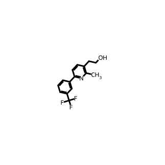 Cc1nc(-c2cccc(C(F)(F)F)c2)ccc1CCO